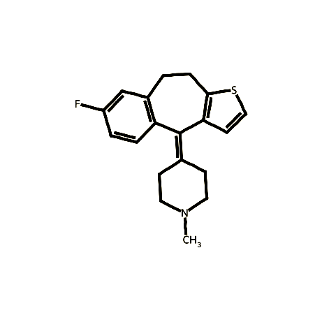 CN1CCC(=C2c3ccc(F)cc3CCc3sccc32)CC1